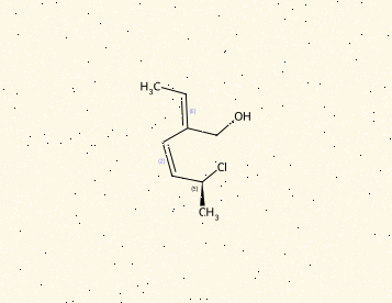 C/C=C(\C=C/[C@H](C)Cl)CO